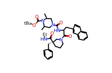 CCNC(=O)[C@]1(Cc2ccccc2)CCCN(C(=O)C(Cc2ccc3ccccc3c2)NC(=O)N2CC(C)N(C(=O)OC(C)(C)C)C(C)C2)C1